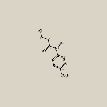 CCN(C(=O)CCCl)c1ccc(C(=O)O)cc1